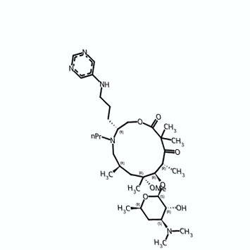 CCCN1C[C@H](C)C[C@@](C)(OC)[C@H](O[C@@H]2O[C@H](C)C[C@H](N(C)C)[C@H]2O)[C@@H](C)C(=O)C(C)(C)C(=O)OC[C@H]1CCCNc1cncnc1